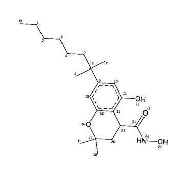 CCCCCCC(C)(C)c1cc(O)c2c(c1)OC(C)(C)CC2C(=O)NO